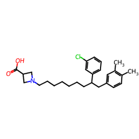 Cc1ccc(CC(CCCCCCCN2CC(C(=O)O)C2)c2cccc(Cl)c2)cc1C